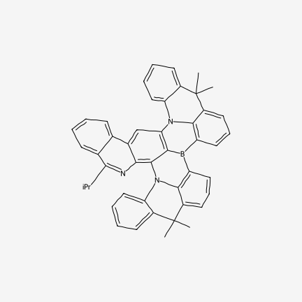 CC(C)c1nc2c3c4c(cc2c2ccccc12)N1c2ccccc2C(C)(C)c2cccc(c21)B4c1cccc2c1N3c1ccccc1C2(C)C